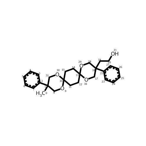 CC1(c2ccccc2)COC2(CCC3(CC2)OCC(CCO)(c2ccccc2)CO3)OC1